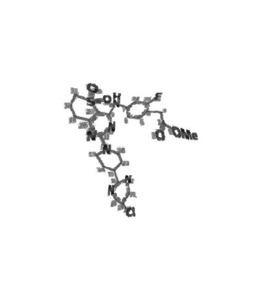 COC(=O)Cc1ccc(Nc2nc(N3CCC(c4ncc(Cl)cn4)CC3)nc3c2S(=O)(=O)CCC3)cc1F